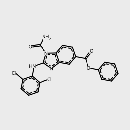 NC(=O)n1c(Nc2c(Cl)cccc2Cl)nc2cc(C(=O)Oc3ccccc3)ccc21